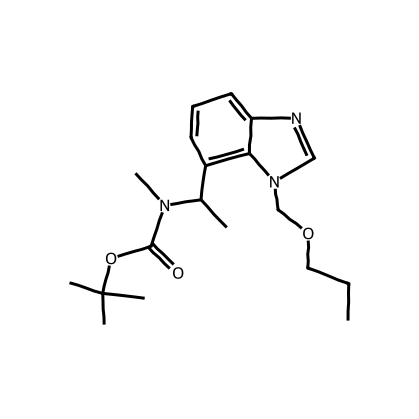 CCCOCn1cnc2cccc(C(C)N(C)C(=O)OC(C)(C)C)c21